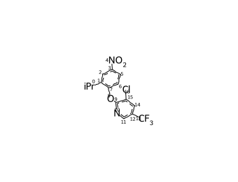 CC(C)c1cc([N+](=O)[O-])ccc1Oc1ncc(C(F)(F)F)cc1Cl